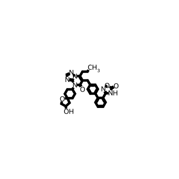 CCCc1c(Cc2ccc(-c3ccccc3-c3noc(=O)[nH]3)cc2)c(=O)n(C2CCC3(CC2)CC(O)CO3)c2ncnn12